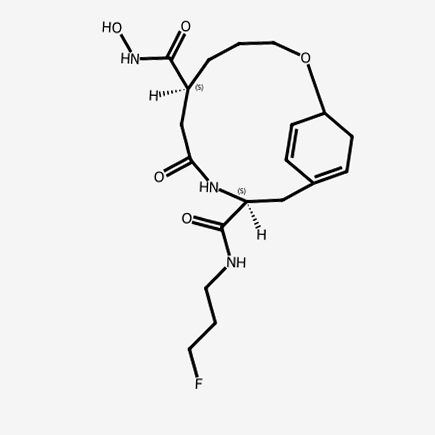 O=C1C[C@@H](C(=O)NO)CCCOC2C=CC(=CC2)C[C@@H](C(=O)NCCCF)N1